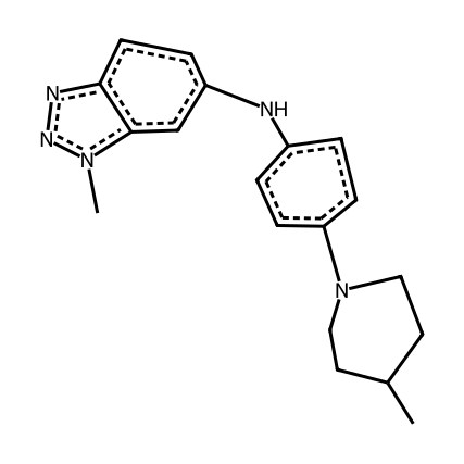 CC1CCN(c2ccc(Nc3ccc4nnn(C)c4c3)cc2)CC1